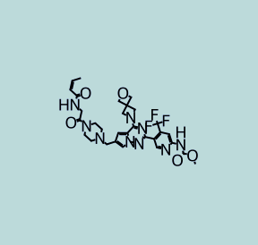 C/C=C\C(=O)NCC(=O)N1CCN(Cc2cc3c(N4CC5(COC5)C4)nc(-c4cnc(NC(=O)OC)cc4C(F)(F)F)nn3c2)CC1